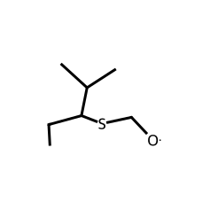 CCC(SC[O])C(C)C